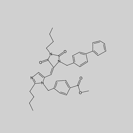 CCCCc1ncc(C=C2C(=O)N(CCCC)C(=O)N2Cc2ccc(-c3ccccc3)cc2)n1Cc1ccc(C(=O)OC)cc1